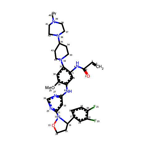 C=CC(=O)Nc1cc(Nc2cc(N3OCCC3c3ccc(F)c(F)c3)ncn2)c(OC)cc1N1CCC(N2CCN(C(C)C)CC2)CC1